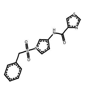 O=C(Nc1ccn(S(=O)(=O)Cc2ccccc2)c1)c1cscn1